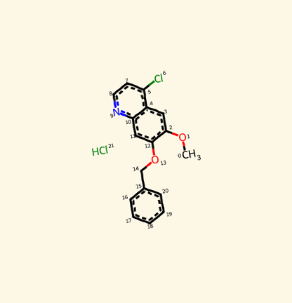 COc1cc2c(Cl)ccnc2cc1OCc1ccccc1.Cl